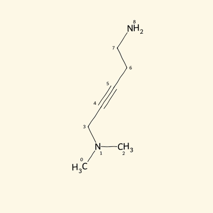 CN(C)CC#CCCN